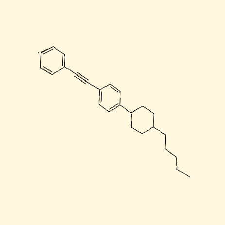 CCCCCC1CCC(c2ccc(C#Cc3cc[c]cc3)cc2)CC1